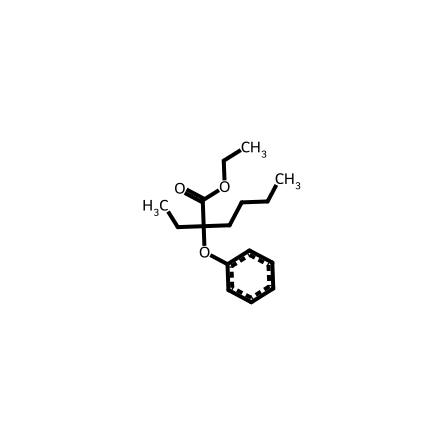 CCCCC(CC)(Oc1ccccc1)C(=O)OCC